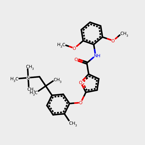 COc1cccc(OC)c1NC(=O)c1ccc(Oc2cc(C(C)(C)C[Si](C)(C)C)ccc2C)o1